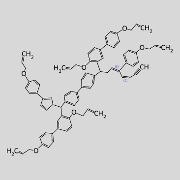 C#C/C=C\C(=C/CC(c1ccc(-c2ccc(C(c3cc(-c4ccc(OCC=C)cc4)ccc3OCC=C)C3C=CC(c4ccc(OCC=C)cc4)=C3)cc2)cc1)c1cc(-c2ccc(OCC=C)cc2)ccc1OCC=C)c1ccc(OCC=C)cc1